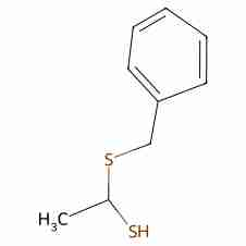 CC(S)SCc1ccccc1